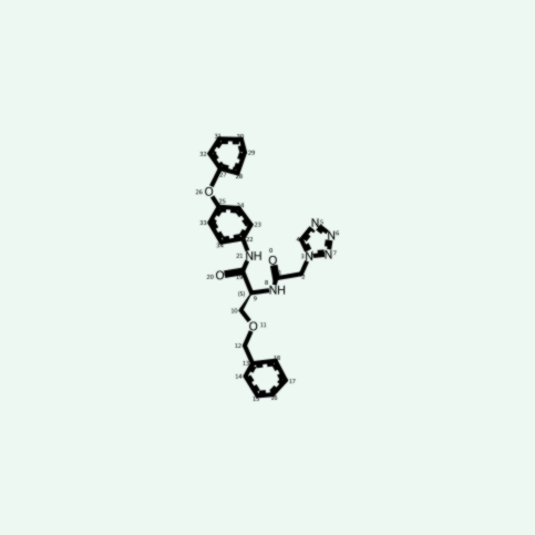 O=C(Cn1cnnn1)N[C@@H](COCc1ccccc1)C(=O)Nc1ccc(Oc2ccccc2)cc1